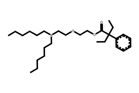 CCCCCCN(CCCCCC)CCOCCOC(=O)C(CC)(CC)c1ccccc1